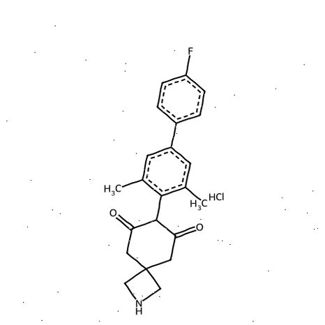 Cc1cc(-c2ccc(F)cc2)cc(C)c1C1C(=O)CC2(CNC2)CC1=O.Cl